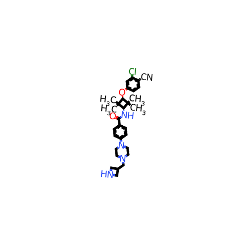 CC1(C)[C@H](NC(=O)c2ccc(N3CCN(CC4CNC4)CC3)cc2)C(C)(C)[C@H]1Oc1ccc(C#N)c(Cl)c1